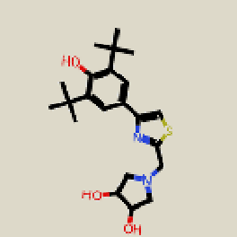 CC(C)(C)c1cc(-c2csc(CN3CC(O)C(O)C3)n2)cc(C(C)(C)C)c1O